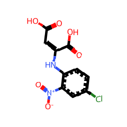 O=C(O)C=C(Nc1ccc(Cl)cc1[N+](=O)[O-])C(=O)O